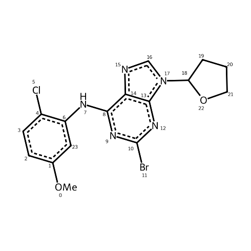 COc1ccc(Cl)c(Nc2nc(Br)nc3c2ncn3C2CCCO2)c1